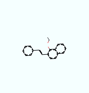 [CH2]COc1c(C=Cc2ccccc2)ccc2ccccc12